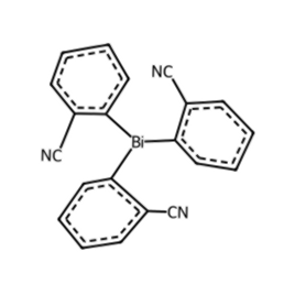 N#Cc1cccc[c]1[Bi]([c]1ccccc1C#N)[c]1ccccc1C#N